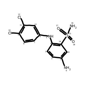 Nc1ccc(Nc2ccc(Cl)c(Cl)c2)c(S(N)(=O)=O)c1